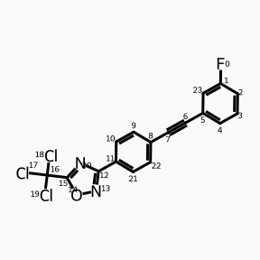 Fc1cccc(C#Cc2ccc(-c3noc(C(Cl)(Cl)Cl)n3)cc2)c1